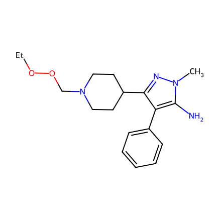 CCOOCN1CCC(c2nn(C)c(N)c2-c2ccccc2)CC1